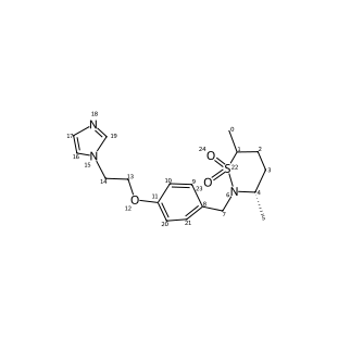 CC1CC[C@H](C)N(Cc2ccc(OCCn3ccnc3)cc2)S1(=O)=O